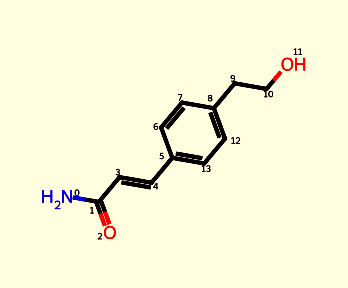 NC(=O)C=Cc1ccc(CCO)cc1